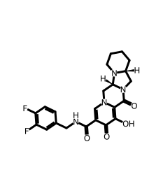 O=C(NCc1ccc(F)c(F)c1)c1cn2c(c(O)c1=O)C(=O)N1C[C@H]3CCCCN3[C@H]1C2